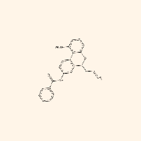 C=CCC1Oc2cccc(OC)c2-c2ccc(NC(=O)c3ccccc3)cc21